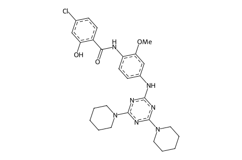 COc1cc(Nc2nc(N3CCCCC3)nc(N3CCCCC3)n2)ccc1NC(=O)c1ccc(Cl)cc1O